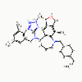 Cc1c2c(cc3c1N(CC1CCC(CC(=O)O)CC1)CCCC3N(Cc1cc(C(F)(F)F)cc(C(F)(F)F)c1)c1nnn(C)n1)COC2